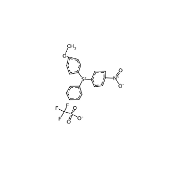 COc1ccc([S+](c2ccccc2)c2ccc([N+](=O)[O-])cc2)cc1.O=S(=O)([O-])C(F)(F)F